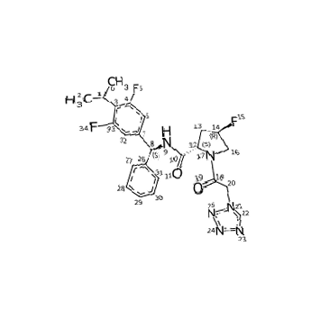 CC(C)c1c(F)cc([C@@H](NC(=O)[C@@H]2C[C@@H](F)CN2C(=O)Cn2cnnn2)c2ccccc2)cc1F